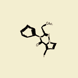 CC(=O)OCc1nn2ccc(I)c2c(=O)n1-c1ccccc1